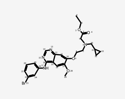 CCOC(=O)CN(CCOc1cc2ncnc(Nc3cccc(Br)c3)c2cc1OC)CC1CC1